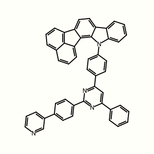 c1ccc(-c2cc(-c3ccc(-n4c5ccccc5c5ccc6c(c54)-c4cccc5cccc-6c45)cc3)nc(-c3ccc(-c4cccnc4)cc3)n2)cc1